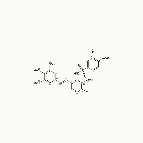 COc1ccc(S(=O)(=O)Nc2c(C=Cc3cc(OC)c(OC)c(OC)c3)ccc(F)c2OC)cc1F